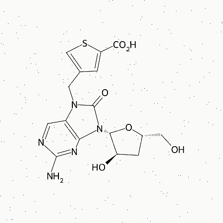 Nc1ncc2c(n1)n([C@@H]1O[C@H](CO)C[C@H]1O)c(=O)n2Cc1csc(C(=O)O)c1